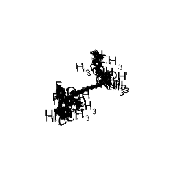 Cc1ncsc1C1=CCC([C@]2(C)NC([C@@H]3C[C@@H](O)CN3C(=O)[C@H](NC(=O)CCCCCCCCCCNC(=O)c3cc4c(cc3CS(C)(=O)=O)-c3cn(C)c(=O)c5[nH]cc(c35)CN4c3ncc(F)cc3F)C(C)(C)C)=NO2)C=C1